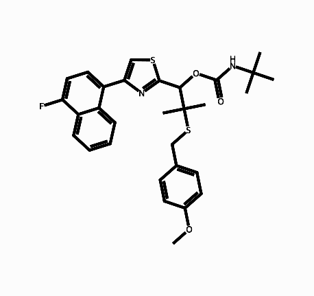 COc1ccc(CSC(C)(C)C(OC(=O)NC(C)(C)C)c2nc(-c3ccc(F)c4ccccc34)cs2)cc1